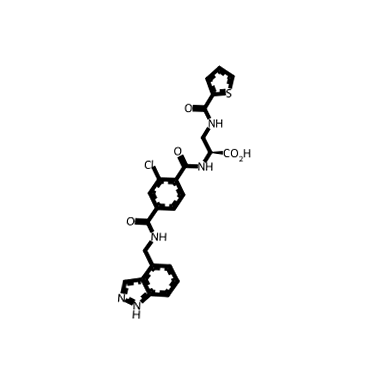 O=C(NCc1cccc2[nH]ncc12)c1ccc(C(=O)N[C@@H](CNC(=O)c2cccs2)C(=O)O)c(Cl)c1